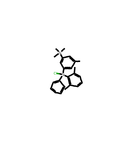 Cc1cc([Si](C)(C)C)cc([Si](Cl)(c2ccccc2)c2c(C)cccc2C)c1